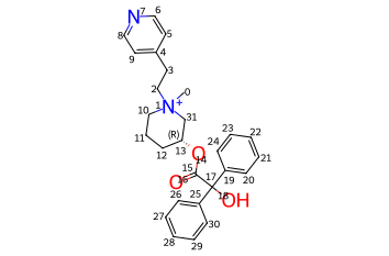 C[N+]1(CCc2ccncc2)CCC[C@@H](OC(=O)C(O)(c2ccccc2)c2ccccc2)C1